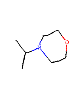 CC(C)N1[CH]COCC1